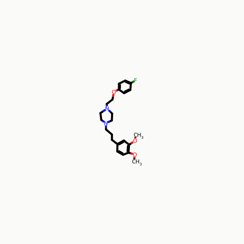 COc1ccc(CCCN2CCN(CCOc3ccc(F)cc3)CC2)cc1OC